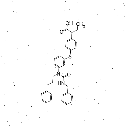 CCC(C(=O)O)c1ccc(Sc2cccc(N(CCCc3ccccc3)C(=O)NCc3ccccc3)c2)cc1